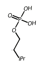 CC(C)[CH]COP(=O)(O)O